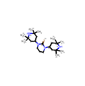 CC1(C)CC(N2CCCN(C3CC(C)(C)NC(C)(C)C3)C2=S)CC(C)(C)N1